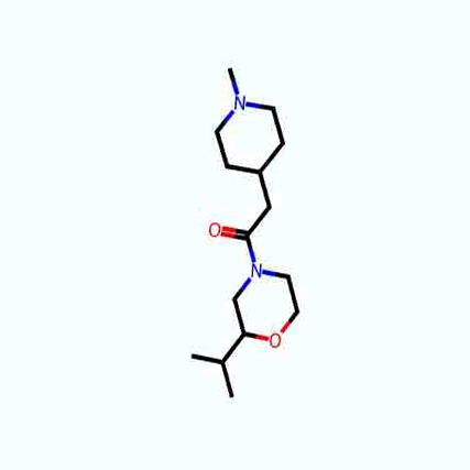 CC(C)C1CN(C(=O)CC2CCN(C)CC2)CCO1